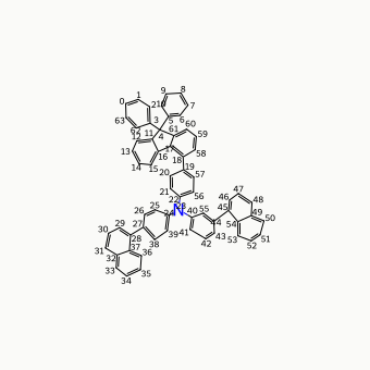 c1ccc(C2(c3ccccc3)c3ccccc3-c3c(-c4ccc(N(c5ccc(-c6cccc7ccccc67)cc5)c5cccc(-c6cccc7ccccc67)c5)cc4)cccc32)cc1